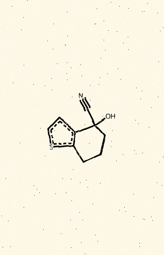 N#CC1(O)CCCc2sccc21